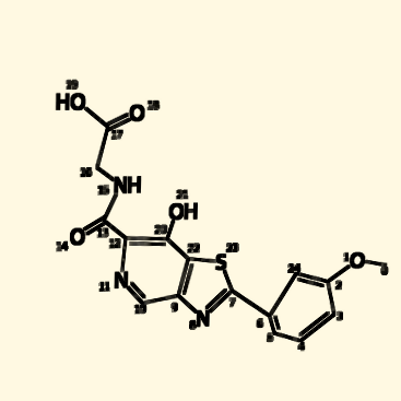 COc1cccc(-c2nc3cnc(C(=O)NCC(=O)O)c(O)c3s2)c1